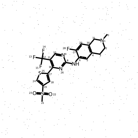 CN1CCc2cc(Nc3ncc(C(F)(F)F)c(-c4cc(S(C)(=O)=O)cs4)n3)c(F)cc2C1